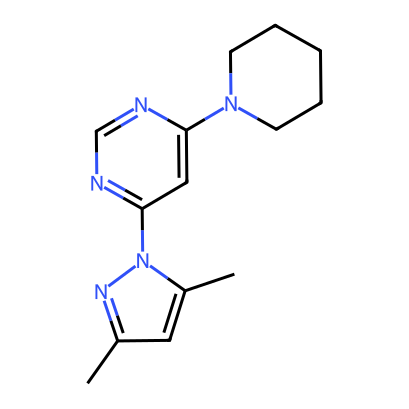 Cc1cc(C)n(-c2cc(N3CCCCC3)ncn2)n1